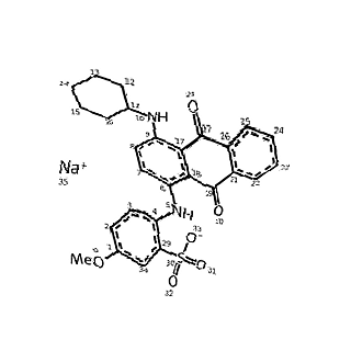 COc1ccc(Nc2ccc(NC3CCCCC3)c3c2C(=O)c2ccccc2C3=O)c(S(=O)(=O)[O-])c1.[Na+]